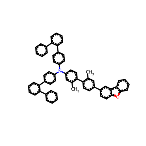 Cc1cc(-c2ccc3oc4ccccc4c3c2)ccc1-c1ccc(N(c2ccc(-c3ccccc3-c3ccccc3)cc2)c2ccc(-c3ccccc3-c3ccccc3)cc2)cc1C